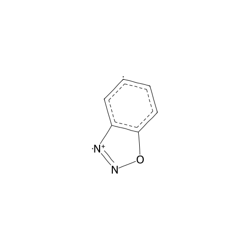 [c]1ccc2c(c1)[N+]=NO2